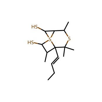 CCC=CC12C(C)C(S)S13C(S)C3C(C)SC2(C)C